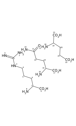 N=C(N)NCCCC(N)C(=O)O.NC(=O)CCC(N)C(=O)O.NC(CCC(=O)O)C(=O)O